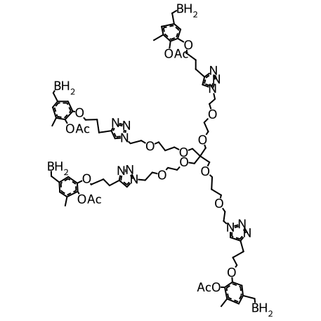 BCc1cc(C)c(OC(C)=O)c(OCCCc2cn(CCOCCCOCC(COCCCOCCn3cc(CCCOc4cc(CB)cc(C)c4OC(C)=O)nn3)(COCCOCCn3cc(CCCOc4cc(CB)cc(C)c4OC(C)=O)nn3)COCCOCCn3cc(CCCOc4cc(CB)cc(C)c4OC(C)=O)nn3)nn2)c1